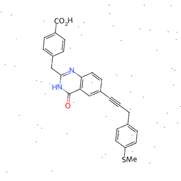 CSc1ccc(CC#Cc2ccc3nc(Cc4ccc(C(=O)O)cc4)[nH]c(=O)c3c2)cc1